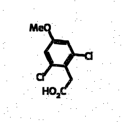 COc1cc(Cl)c(CC(=O)O)c(Cl)c1